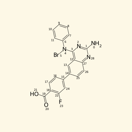 Nc1nc(N(Br)c2ccccc2)c2cc(-c3ccc(C(=O)O)c(F)c3)ccc2n1